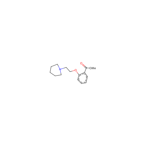 COC(=O)c1ccccc1OCCN1CCCCC1